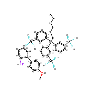 CCCCCC[B-](c1cccc(C(F)(F)F)c1)(c1cccc(C(F)(F)F)c1)c1cccc(C(F)(F)F)c1.COc1ccc(-c2ccccc2[IH+])cc1